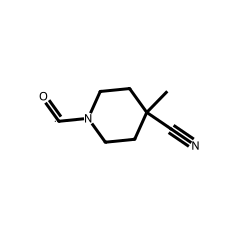 CC1(C#N)CCN([C]=O)CC1